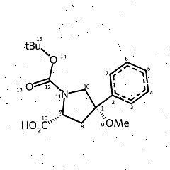 CO[C@]1(c2ccccc2)C[C@H](C(=O)O)N(C(=O)OC(C)(C)C)C1